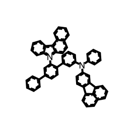 c1ccc(-c2ccc(-c3cccc(N(c4ccccc4)c4ccc5c(c4)-c4cccc6cccc-5c46)c3)c(-n3c4ccccc4c4c5ccccc5ccc43)c2)cc1